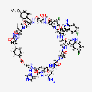 COc1ccc(C[C@@H]2NC(=O)[C@H]([C@@H](C)O)NC(=O)[C@@H]3C[C@H](F)CN3C(=O)[C@H](Cc3c[nH]c4ccc(F)cc34)NC(=O)[C@H](Cc3c[nH]c4ccc(F)cc34)NC(=O)[C@@H](C)NC(=O)[C@H](CCCCN)NC(=O)[C@@H](NC(=O)Cc3cnc[nH]3)CC(=O)NCCOc3ccc(cc3)C[C@@H](C(N)=O)NC(=O)[C@]3(C)CCCN3C2=O)cc1